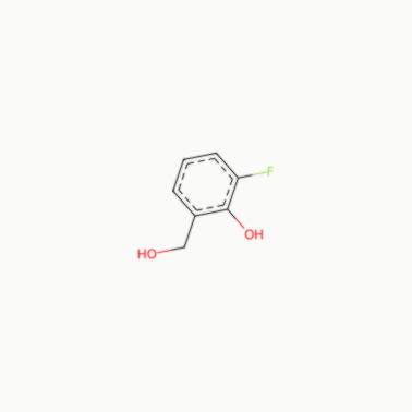 OCc1cccc(F)c1O